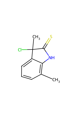 Cc1cccc2c1NC(=S)C2(C)Cl